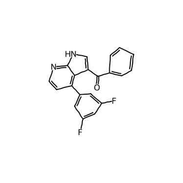 O=C(c1ccccc1)c1c[nH]c2nccc(-c3cc(F)cc(F)c3)c12